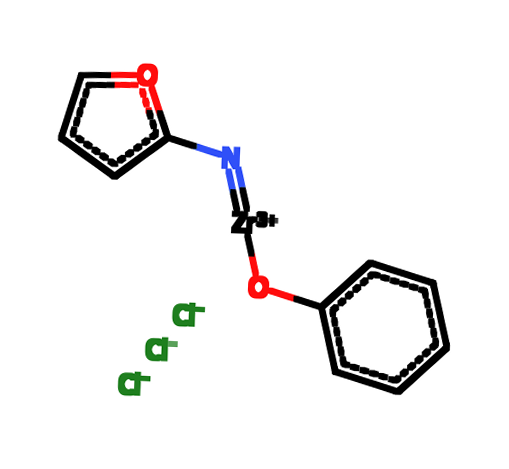 [Cl-].[Cl-].[Cl-].c1ccc([O]/[Zr+3]=[N]/c2ccco2)cc1